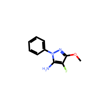 COc1nn(-c2ccccc2)c(N)c1F